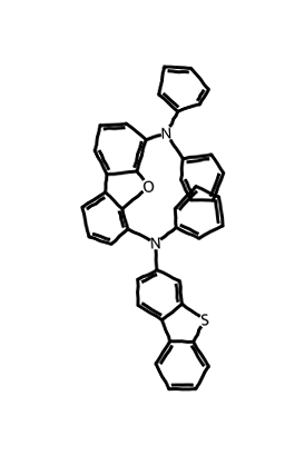 c1ccc(N(c2ccccc2)c2cccc3c2oc2c(N(c4ccccc4)c4ccc5c(c4)sc4ccccc45)cccc23)cc1